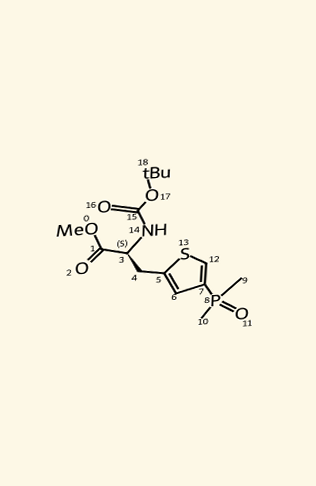 COC(=O)[C@H](Cc1cc(P(C)(C)=O)cs1)NC(=O)OC(C)(C)C